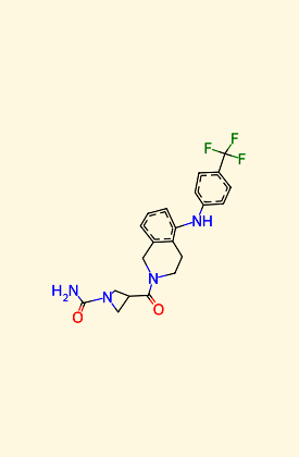 NC(=O)N1CC(C(=O)N2CCc3c(cccc3Nc3ccc(C(F)(F)F)cc3)C2)C1